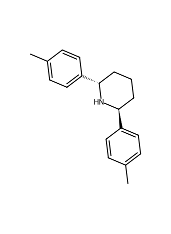 Cc1ccc([C@@H]2CCC[C@@H](c3ccc(C)cc3)N2)cc1